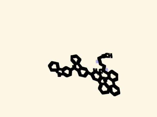 C#C/C=C\C=C(/C)c1cccc(-c2ccccc2)c1-n1c2c(c3ccccc31)C=C(c1ccc3c(c1)c1ccccc1n3-c1ccc3sc4ccccc4c3c1)CC2